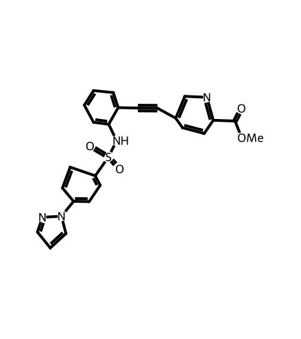 COC(=O)c1ccc(C#Cc2ccccc2NS(=O)(=O)c2ccc(-n3cccn3)cc2)cn1